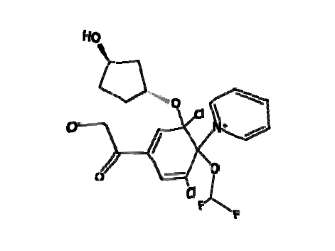 O=C(C[O-])C1=CC(Cl)(O[C@@H]2CC[C@@H](O)C2)C(OC(F)F)([n+]2ccccc2)C(Cl)=C1